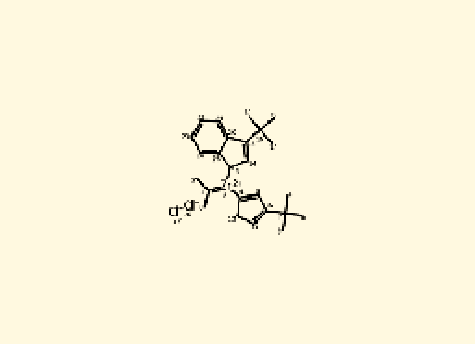 C[C](C)=[Zr+2]([C]1=CC(C(C)(C)C)=CC1)[CH]1C=C(C(C)(C)C)c2ccccc21.[Cl-].[Cl-]